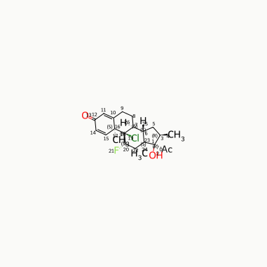 CC(=O)[C@@]1(O)[C@H](C)C[C@H]2[C@@H]3CCC4=CC(=O)C=C[C@]4(C)[C@@]3(Cl)[C@@H](F)C[C@@]21C